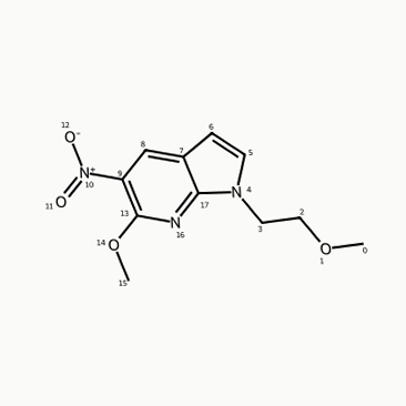 COCCn1ccc2cc([N+](=O)[O-])c(OC)nc21